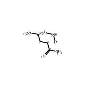 CCCC(C)NCC.CCCCCCCCCCCC(N)=O